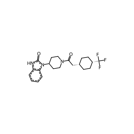 O=C(C[C@H]1CC[C@@H](C(F)(F)F)CC1)N1CCC(n2c(=O)[nH]c3ccccc32)CC1